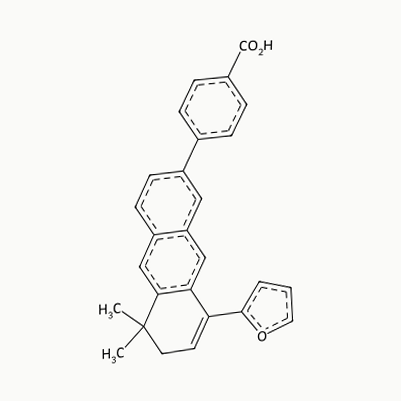 CC1(C)CC=C(c2ccco2)c2cc3cc(-c4ccc(C(=O)O)cc4)ccc3cc21